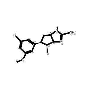 COc1cc(Cl)cc([C@H]2CC3NC(N)=NC3[C@H]2C)c1